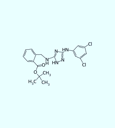 CC(C)(C)OC(=O)c1ccccc1CNc1nc(Nc2cc(Cl)cc(Cl)c2)n[nH]1